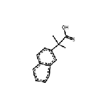 CC(C)(C(O)=S)c1ccc2ccccc2c1